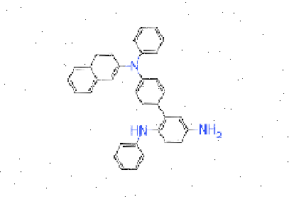 Nc1ccc(Nc2ccccc2)c(-c2ccc(N(c3ccccc3)c3ccc4ccccc4c3)cc2)c1